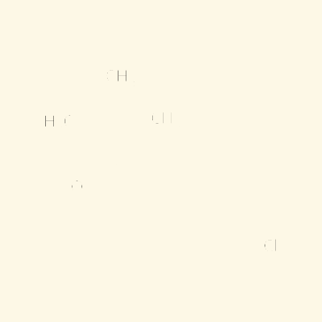 CC(C)(C)C(=O)c1ccc(Cl)cc1